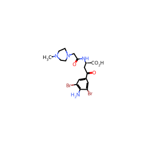 CN1CCN(CC(=O)N[C@H](CC(=O)c2cc(Br)c(N)c(Br)c2)C(=O)O)CC1